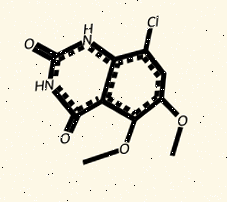 COc1cc(Cl)c2[nH]c(=O)[nH]c(=O)c2c1OC